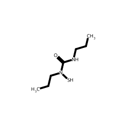 CCCNC(=O)N(S)CCC